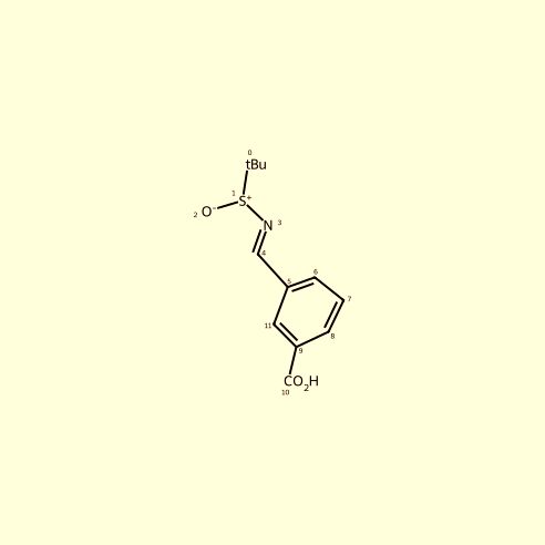 CC(C)(C)[S+]([O-])N=Cc1cccc(C(=O)O)c1